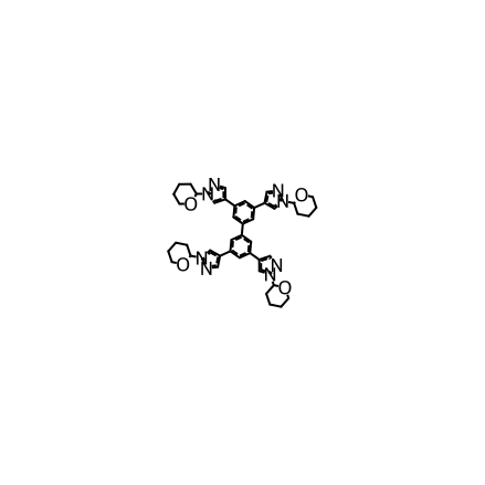 c1nn(C2CCCCO2)cc1-c1cc(-c2cc(-c3cnn(C4CCCCO4)c3)cc(-c3cnn(C4CCCCO4)c3)c2)cc(-c2cnn(C3CCCCO3)c2)c1